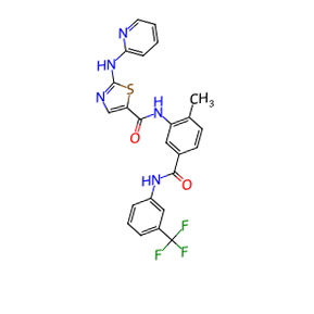 Cc1ccc(C(=O)Nc2cccc(C(F)(F)F)c2)cc1NC(=O)c1cnc(Nc2ccccn2)s1